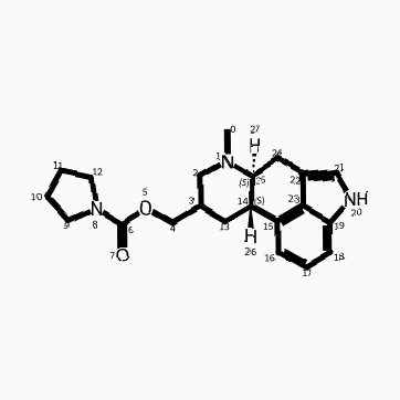 CN1CC(COC(=O)N2CCCC2)C[C@H]2c3cccc4[nH]cc(c34)C[C@@H]21